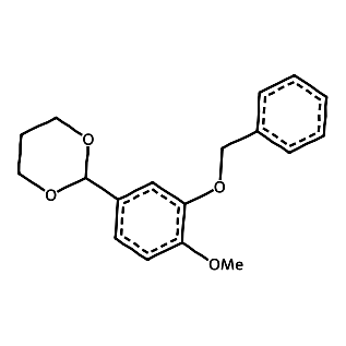 COc1ccc(C2OCCCO2)cc1OCc1ccccc1